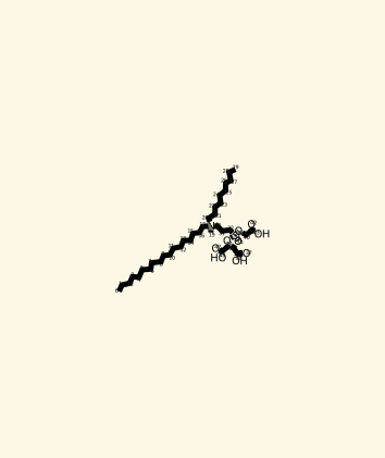 CCCCCCCCCCCCCCCCCC[N+](C)(CCCCCCCCCC)CCC[Si](OCC(=O)O)(OCC(=O)O)OCC(=O)O